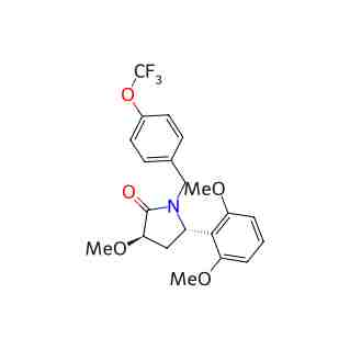 COc1cccc(OC)c1[C@@H]1C[C@@H](OC)C(=O)N1Cc1ccc(OC(F)(F)F)cc1